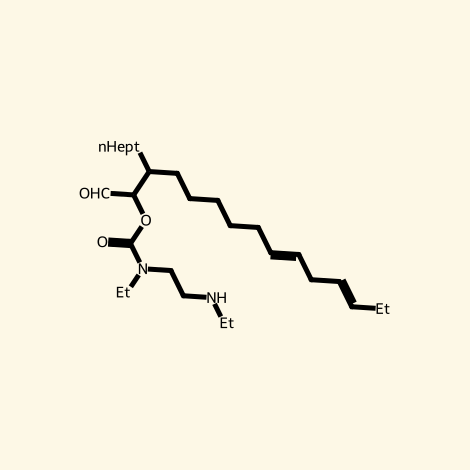 CC/C=C/C/C=C/CCCCCC(CCCCCCC)C(C=O)OC(=O)N(CC)CCNCC